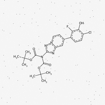 CC(C)(C)OC(=O)N(C(=O)OC(C)(C)C)c1nc2cc(-c3ccc(Cl)c(O)c3F)ccn2n1